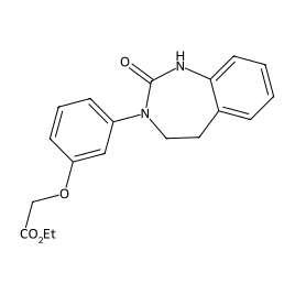 CCOC(=O)COc1cccc(N2CCc3ccccc3NC2=O)c1